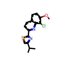 COc1ccc2[c]cc(-c3nc(C(C)C)cs3)nc2c1Cl